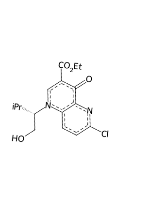 CCOC(=O)c1cn([C@H](CO)C(C)C)c2ccc(Cl)nc2c1=O